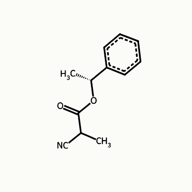 CC(C#N)C(=O)O[C@H](C)c1ccccc1